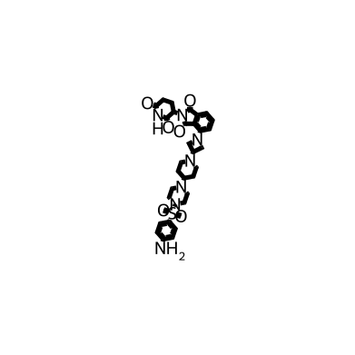 Nc1ccc(S(=O)(=O)N2CCN(C3CCN(C4CN(c5cccc6c5C(=O)N(C5CCC(=O)NC5=O)C6=O)C4)CC3)CC2)cc1